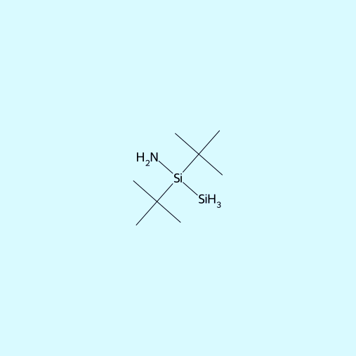 CC(C)(C)[Si](N)([SiH3])C(C)(C)C